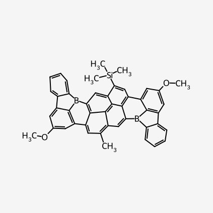 COc1cc2c3c(c1)-c1cc(C)c4cc5c6c(cc([Si](C)(C)C)c7cc(c1c4c76)B3c1ccccc1-2)-c1cc(OC)cc2c1B5c1ccccc1-2